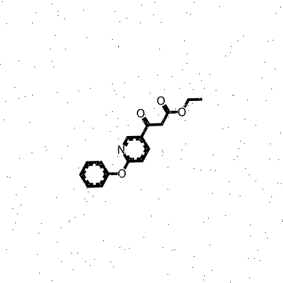 CCOC(=O)CC(=O)c1ccc(Oc2ccccc2)nc1